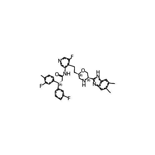 Cc1cc2nc([C@@H]3CO[C@H](CCc4c(F)cncc4NC(=O)C[C@H](c4cccc(F)c4)c4ccc(C)c(F)c4)CN3)[nH]c2cc1C